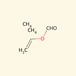 C.C.C=COC=O